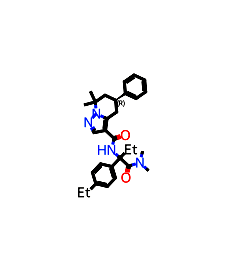 CCc1ccc(C(CC)(NC(=O)c2cnn3c2C[C@H](c2ccccc2)CC3(C)C)C(=O)N(C)C)cc1